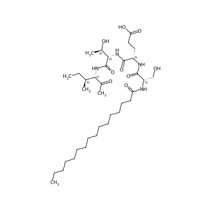 CCCCCCCCCCCCCCCC(=O)N[C@@H](CO)C(=O)N[C@@H](CCC(=O)O)C(=O)N[C@H](C(=O)N[C@H](C(C)=O)[C@@H](C)CC)[C@@H](C)O